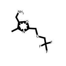 Cc1nc(COCC(F)(F)F)oc1CN